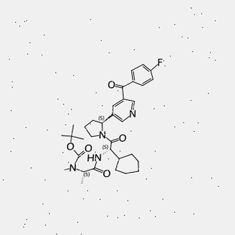 C[C@@H](C(=O)N[C@H](C(=O)N1CCC[C@H]1c1cncc(C(=O)c2ccc(F)cc2)c1)C1CCCCC1)N(C)C(=O)OC(C)(C)C